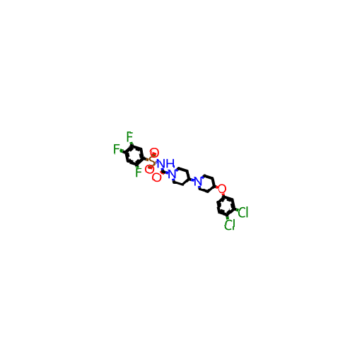 O=C(NS(=O)(=O)c1cc(F)c(F)cc1F)N1CCC(N2CCC(Oc3ccc(Cl)c(Cl)c3)CC2)CC1